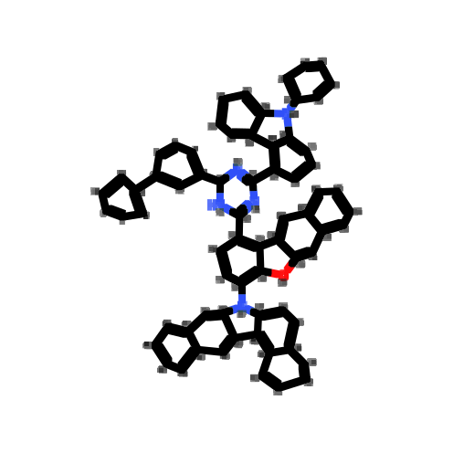 c1ccc(-c2cccc(C3N=C(c4cccc5c4c4ccccc4n5-c4ccccc4)N=C(c4ccc(-n5c6cc7ccccc7cc6c6c7ccccc7ccc65)c5oc6cc7ccccc7cc6c45)N3)c2)cc1